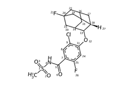 CS(=O)(=O)NC(=O)c1cc(Cl)c(OC2C3CC4C[C@H]2CC(F)(C4)C3)cc1F